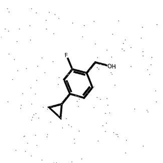 OCc1ccc(C2CC2)cc1F